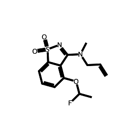 C=CCN(C)C1=NS(=O)(=O)c2cccc(OC(C)F)c21